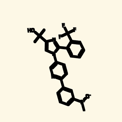 C[S+]([O-])c1cccc(-c2ccc(-n3cc(C(C)(C)O)nc3-c3ccccc3C(F)(F)F)cn2)c1